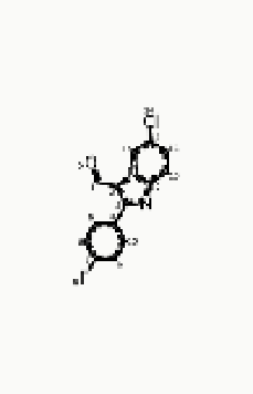 O=Cc1c(-c2ccc(F)cc2)nc2ccc(Cl)cn12